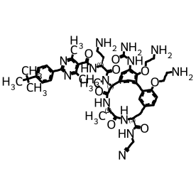 Cc1nc(-c2ccc(C(C)(C)C)cc2)nc(C)c1C(=O)N[C@@H](CCN)C(=O)N(C)[C@@H]1C(=O)N[C@@H](C)C(=O)N[C@H](C(=O)NCC#N)Cc2ccc(OCCN)c(c2)-c2cc1cc(NC(N)=O)c2OCCN